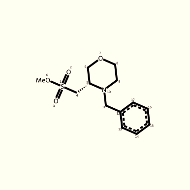 COS(=O)(=O)C[C@@H]1COCCN1Cc1ccccc1